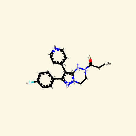 CC(C)(C)CC(=O)N1CCn2nc(-c3ccc(F)cc3)c(-c3ccncc3)c2N1